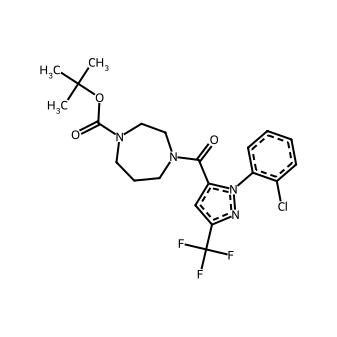 CC(C)(C)OC(=O)N1CCCN(C(=O)c2cc(C(F)(F)F)nn2-c2ccccc2Cl)CC1